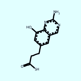 Nc1ncc2cc(CCC(=O)S)cc(O)c2n1